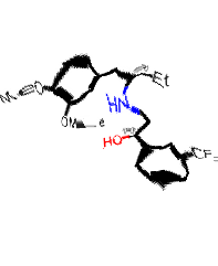 CC[C@H](Cc1ccc(OC)c(OC)c1)NC[C@H](O)c1cccc(C(F)(F)F)c1